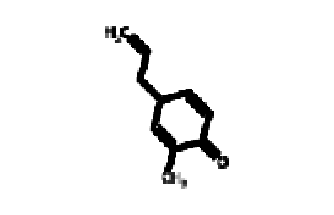 C=CCC1C=CC(=O)C(C)=C1